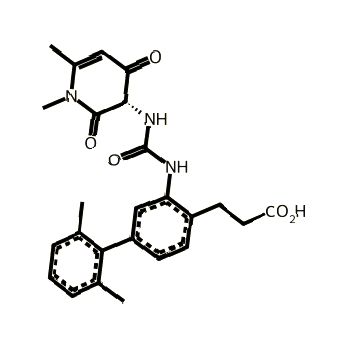 CC1=CC(=O)[C@H](NC(=O)Nc2cc(-c3c(C)cccc3C)ccc2CCC(=O)O)C(=O)N1C